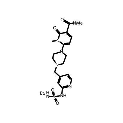 CCNS(=O)(=O)Nc1cc(CN2CCN(c3ccc(C(=O)NC)c(=O)n3C)CC2)ccn1